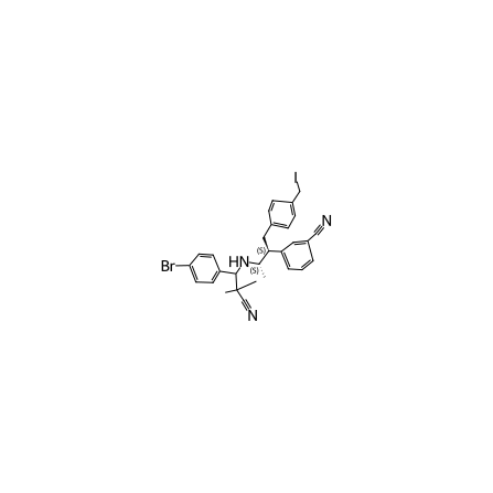 C[C@H](NC(c1ccc(Br)cc1)C(C)(C)C#N)[C@@H](Cc1ccc(CI)cc1)c1cccc(C#N)c1